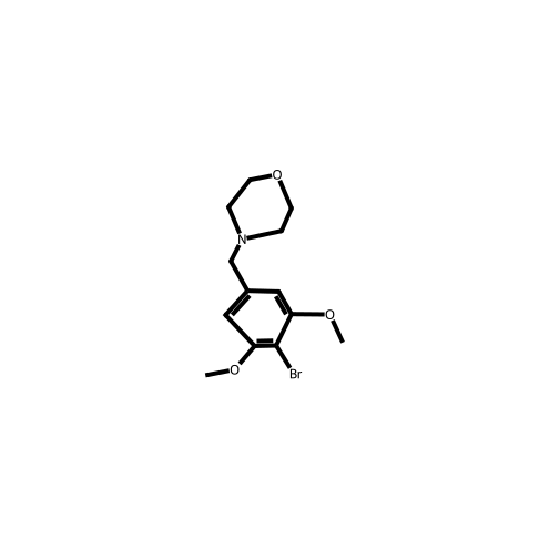 COc1cc(CN2CCOCC2)cc(OC)c1Br